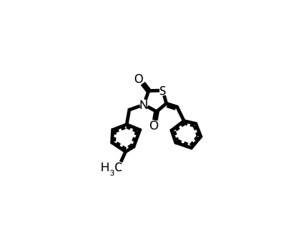 Cc1ccc(CN2C(=O)SC(=Cc3ccccc3)C2=O)cc1